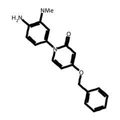 CNc1cc(-n2ccc(OCc3ccccc3)cc2=O)ccc1N